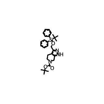 CC(C)(C)OC(=O)N1CCc2c(CO[Si](c3ccccc3)(c3ccccc3)C(C)(C)C)n[nH]c2C1